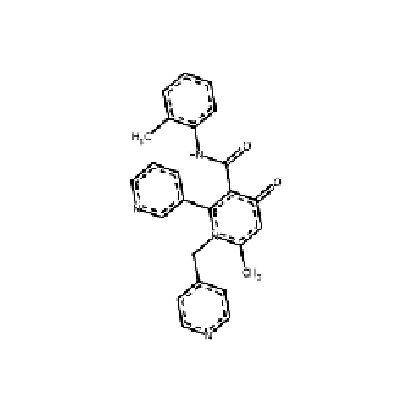 Cc1ccccc1NC(=O)c1c(-c2cccnc2)n(Cc2ccncc2)c(C)cc1=O